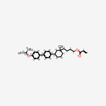 C=CC(=O)OCCCCC1(C#N)CCCC(c2ccc(-c3ccc(OC(CCC)CCCC)cc3)cc2)C1